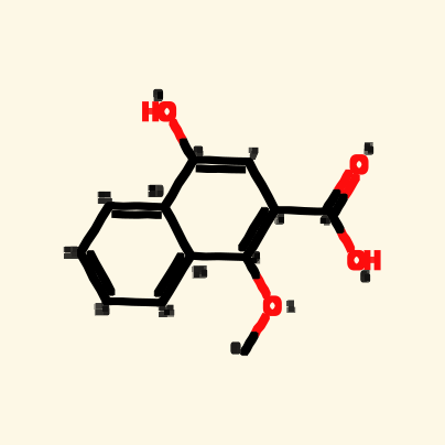 COc1c(C(=O)O)cc(O)c2ccccc12